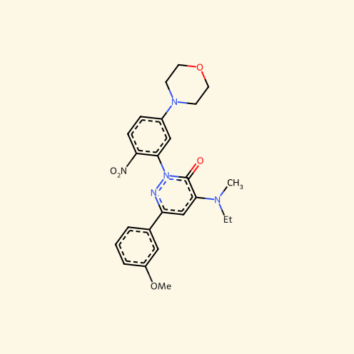 CCN(C)c1cc(-c2cccc(OC)c2)nn(-c2cc(N3CCOCC3)ccc2[N+](=O)[O-])c1=O